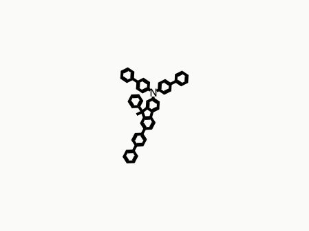 CC1(c2ccccc2)c2cc(-c3ccc(-c4ccccc4)cc3)ccc2-c2ccc(N(c3ccc(-c4ccccc4)cc3)c3ccc(-c4ccccc4)cc3)cc21